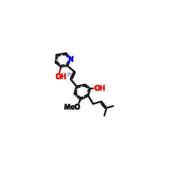 COc1cc(/C=C/c2ncccc2O)cc(O)c1CC=C(C)C